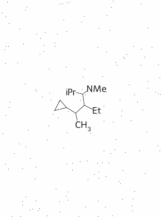 CCC(C(C)C1CC1)C(NC)C(C)C